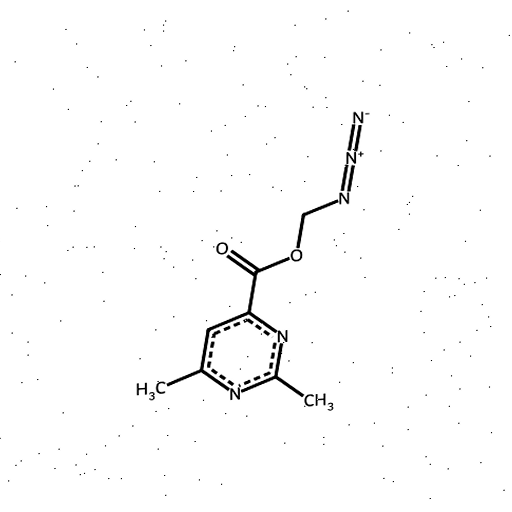 Cc1cc(C(=O)OCN=[N+]=[N-])nc(C)n1